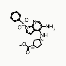 COC(=O)[C@@H]1CC[C@H](Nc2c(N)cnc3c2ccn3S(=O)(=O)c2ccccc2)C1